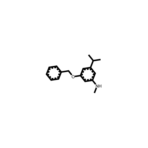 CNc1cc(OCc2ccccc2)cc(C(C)C)c1